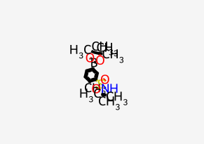 Cc1ccc(B2OC(C)(C)C(C)(C)O2)cc1S(=O)(=O)NC(C)(C)C